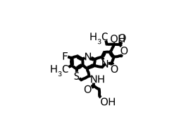 CC[C@@]1(O)C(=O)OCc2c1cc1n(c2=O)Cc2c-1nc1cc(F)c(C)c3c1c2[C@H](NC(=O)CCO)CS3